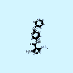 Cc1nsc(N)c1C(=O)Nc1ccc(Oc2cccnc2)nc1